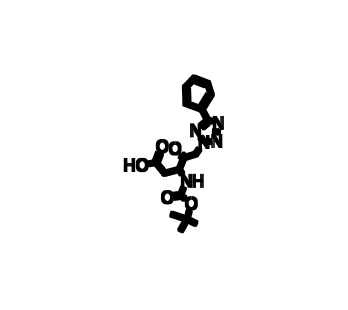 CC(C)(C)OC(=O)NC(CC(=O)O)C(=O)Cn1nnc(-c2ccccc2)n1